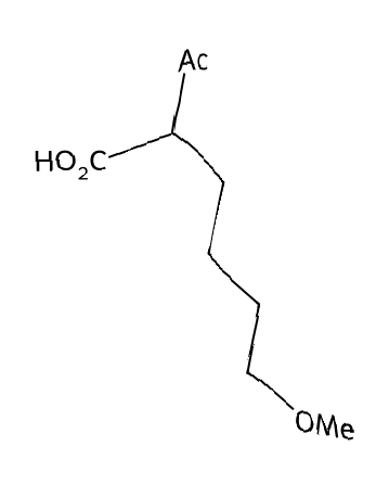 COCCCCC(C(C)=O)C(=O)O